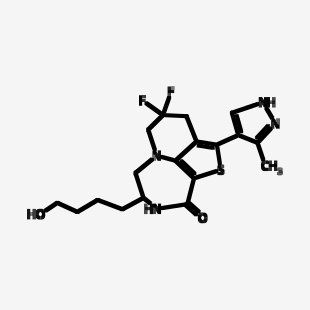 Cc1n[nH]cc1-c1sc2c3c1CC(F)(F)CN3CC(CCCCO)NC2=O